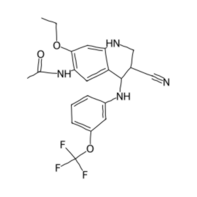 CCOc1cc2c(cc1NC(C)=O)C(Nc1cccc(OC(F)(F)F)c1)C(C#N)CN2